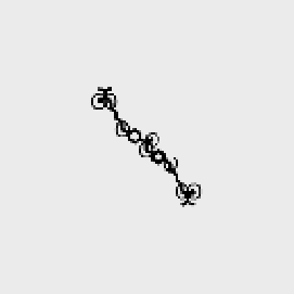 C=C(C)C(=O)OCCCCOc1ccc(OC(=O)C2CCC(OCCCCOC(=O)C(=C)C)CC2)cc1